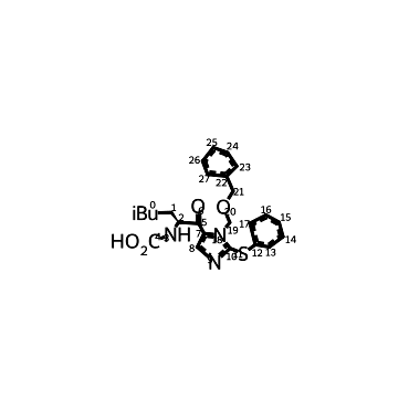 CCC(C)C[C@H](NC(=O)O)C(=O)c1cnc(Sc2ccccc2)n1COCc1ccccc1